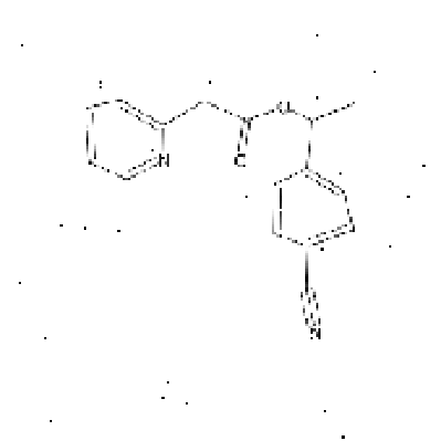 CC(OC(=O)Cc1ccccn1)c1ccc(C#N)cc1